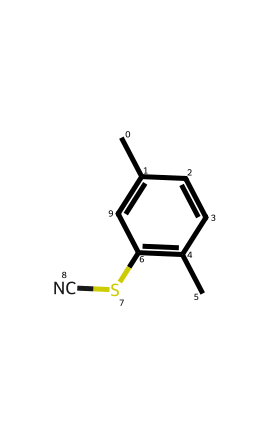 Cc1ccc(C)c(SC#N)c1